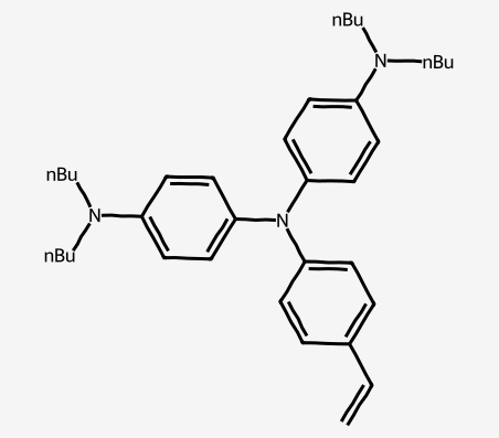 C=Cc1ccc(N(c2ccc(N(CCCC)CCCC)cc2)c2ccc(N(CCCC)CCCC)cc2)cc1